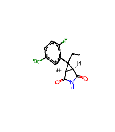 CCC1(c2cc(Br)ccc2F)[C@@H]2C(=O)NC(=O)[C@@H]21